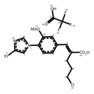 CCc1cn(-c2ccc(/C=C(\CCCCl)C(=O)O)cc2OC)cn1.O=C(O)C(F)(F)F